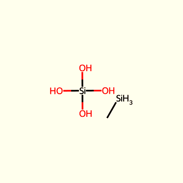 C[SiH3].O[Si](O)(O)O